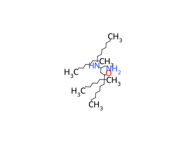 CCCCCCCC(C)(CCCCCC)NC(CN)CC(=O)C(C)(CCCCCC)CCCCCCC